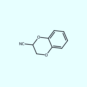 N#CC1COc2ccccc2O1